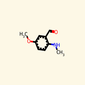 CNc1ccc(OC)cc1C=O